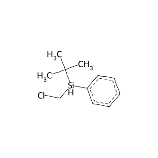 CC(C)(C)[SiH](CCl)c1ccccc1